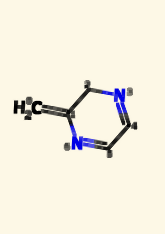 C=C1CN=CC=N1